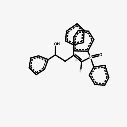 O=P(/C(F)=C(/CC(O)c1ccccc1)c1ccccc1)(c1ccccc1)c1ccccc1